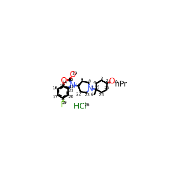 CCCOC1CCC(C)(N2CCC(n3c(=O)oc4ccc(F)cc43)CC2)CC1.Cl